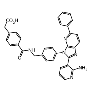 Nc1ncccc1-c1nc2ccc(-c3ccccc3)nc2n1-c1ccc(CNC(=O)c2ccc(CC(=O)O)cc2)cc1